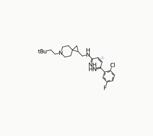 CC(C)(C)CCN1CCC2(CC1)CC2CNC(=N)/C=C\C(=N)c1cc(F)ccc1Cl